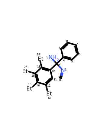 C=NC(N)(c1ccccc1)c1cc(CC)c(CC)c(CC)c1CC